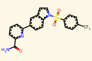 NC(=O)c1cccc(-c2ccc3c(ccn3S(=O)(=O)c3ccc(C(F)(F)F)cc3)c2)n1